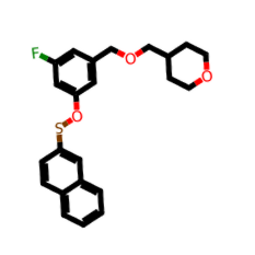 Fc1cc(COCC2CCOCC2)cc(OSc2ccc3ccccc3c2)c1